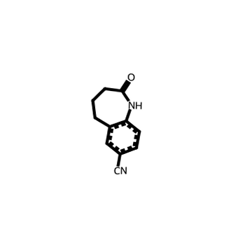 N#Cc1ccc2c(c1)CCCC(=O)N2